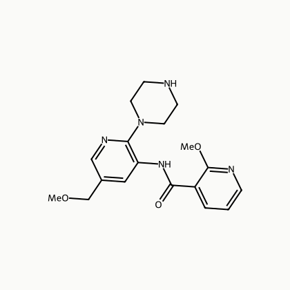 COCc1cnc(N2CCNCC2)c(NC(=O)c2cccnc2OC)c1